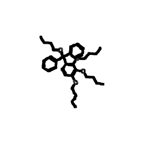 CCCCOc1ccc(C(OCCCC)(c2ccccc2)c2ccccc2)c(OCCCC)c1OCCCC